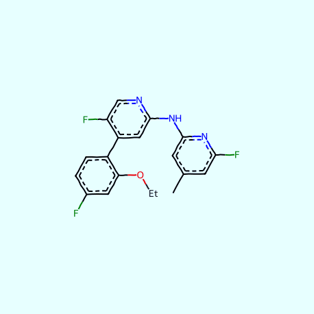 CCOc1cc(F)ccc1-c1cc(Nc2cc(C)cc(F)n2)ncc1F